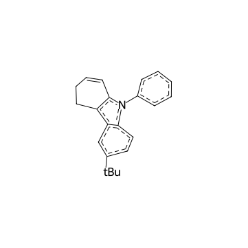 CC(C)(C)c1ccc2c(c1)c1c(n2-c2ccccc2)C=CCC1